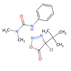 CC(C)(C)C1(Cl)N=NOC1=O.CN(C)C(=O)Nc1ccccc1